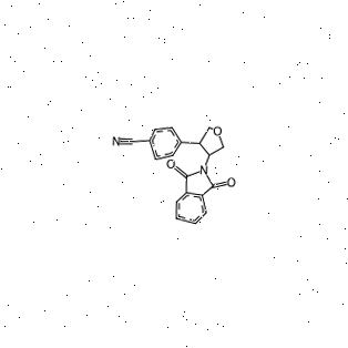 N#Cc1ccc(C2COCC2N2C(=O)c3ccccc3C2=O)cc1